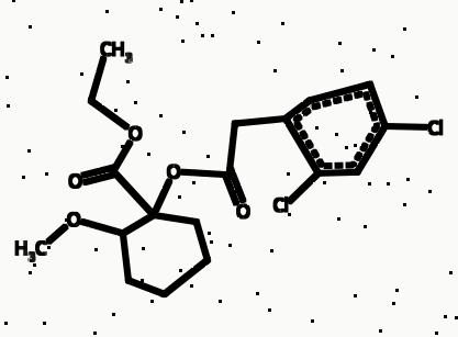 CCOC(=O)C1(OC(=O)Cc2ccc(Cl)cc2Cl)CCCCC1OC